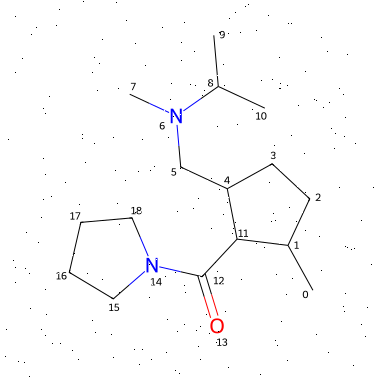 CC1CCC(CN(C)C(C)C)C1C(=O)N1CCCC1